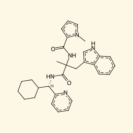 Cn1cccc1C(=O)NC(C)(Cc1c[nH]c2ccccc12)C(=O)N[C@H](c1ccccn1)C1CCCCC1